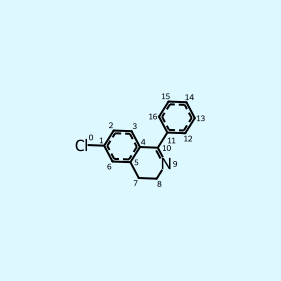 Clc1ccc2c(c1)CCN=C2c1ccccc1